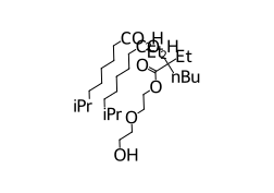 CC(C)CCCCCC(=O)O.CC(C)CCCCCC(=O)O.CCCCC(CC)(CC)C(=O)OCCOCCO